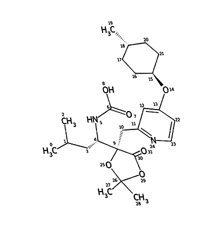 CC(C)C[C@H](NC(=O)O)[C@]1(Cc2cc(O[C@H]3CC[C@H](C)CC3)ccn2)OC(C)(C)OC1=O